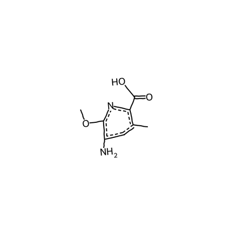 COc1nc(C(=O)O)c(C)cc1N